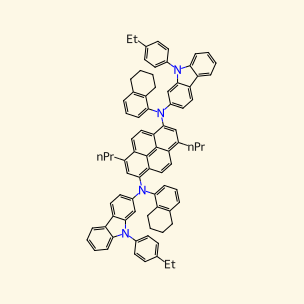 CCCc1cc(N(c2ccc3c4ccccc4n(-c4ccc(CC)cc4)c3c2)c2cccc3c2CCCC3)c2ccc3c(CCC)cc(N(c4ccc5c6ccccc6n(-c6ccc(CC)cc6)c5c4)c4cccc5c4CCCC5)c4ccc1c2c34